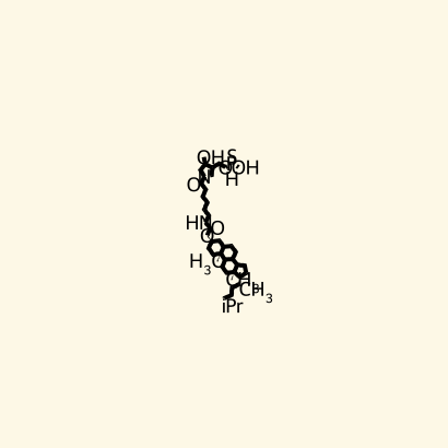 CC(C)CCCC(C)[C@H]1CCC2C3CCC4C[C@@H](OC(=O)NCCCCCC(=O)N5CC(O)C(CO[PH](O)=S)C5)CC[C@]4(C)C3CC[C@@]21C